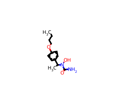 CCCCOc1ccc(C(C)N(O)C(N)=O)cc1